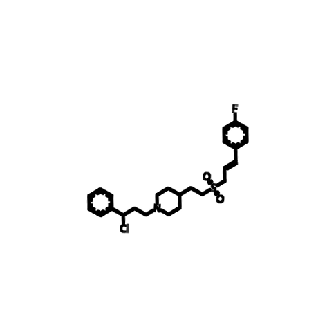 O=S(=O)(CC=Cc1ccc(F)cc1)CCC1CCN(CCC(Cl)c2ccccc2)CC1